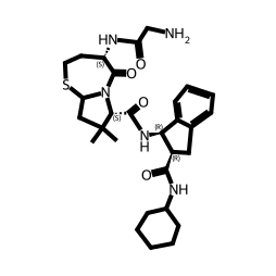 CC1(C)CC2SCC[C@H](NC(=O)CN)C(=O)N2[C@@H]1C(=O)N[C@H]1c2ccccc2C[C@H]1C(=O)NC1CCCCC1